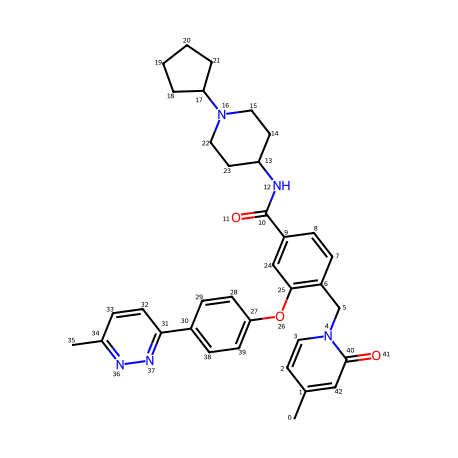 Cc1ccn(Cc2ccc(C(=O)NC3CCN(C4CCCC4)CC3)cc2Oc2ccc(-c3ccc(C)nn3)cc2)c(=O)c1